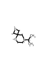 CC(C)N1CCOC2(COC2)C1